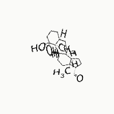 C[C@]12CC[C@H]3[C@@H](CC[C@@H]4CCCC(O)(O)[C@@]43C)[C@H]1CC[C@@H]2C=O